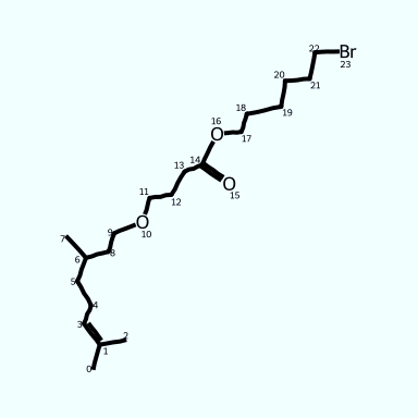 CC(C)=CCCC(C)CCOCCCC(=O)OCCCCCCBr